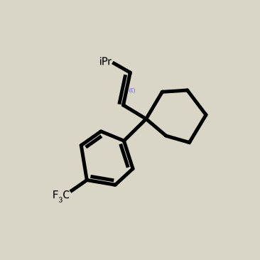 CC(C)/C=C/C1(c2ccc(C(F)(F)F)cc2)CCCCC1